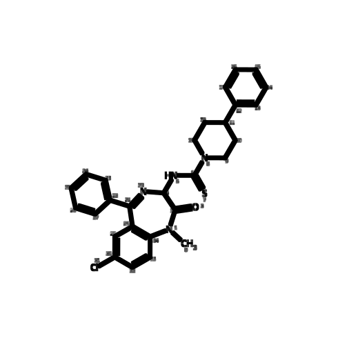 CN1C(=O)C(NC(=S)N2CCC(c3ccccc3)CC2)N=C(c2ccccc2)c2cc(Cl)ccc21